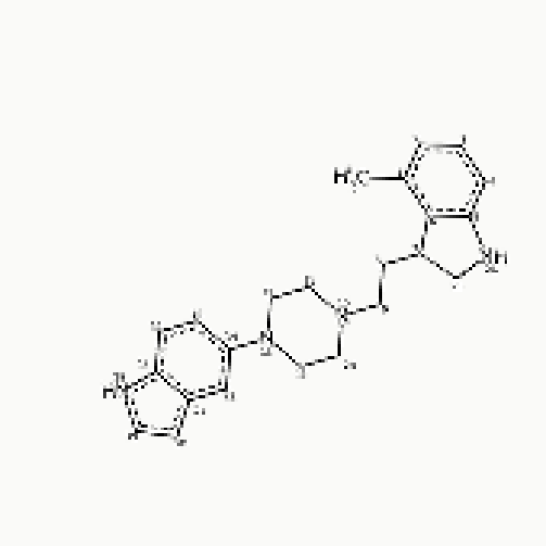 Cc1cccc2c1C(CCN1CCN(c3ccc4[nH]ccc4c3)CC1)CN2